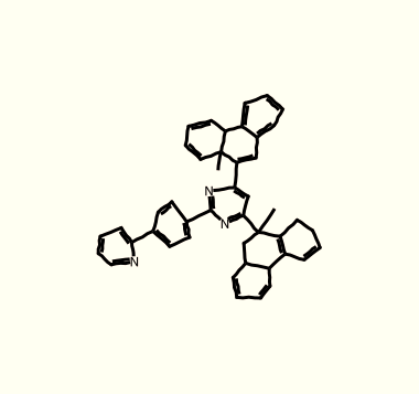 CC1(c2cc(C3=Cc4ccccc4C4C=CC=CC34C)nc(-c3ccc(-c4ccccn4)cc3)n2)CC2C=CC=CC2C2=C1CCC=C2